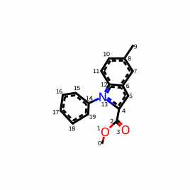 COC(=O)c1cc2cc(C)ccc2n1-c1ccccc1